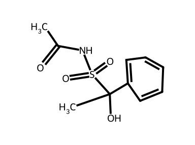 CC(=O)NS(=O)(=O)C(C)(O)c1ccccc1